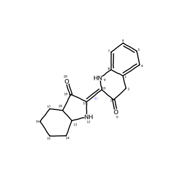 O=C1Cc2ccccc2N/C1=C1/NC2CCCCC2C1=O